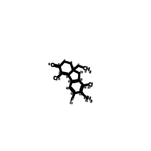 CCC12CCC(=O)C(Cl)=C1c1cc(F)c(N)c(Cl)c1C2